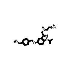 C=NCc1ccc(COc2ccc3c(c2)c(CN(C)CCNC)nn3C(C)C)cc1